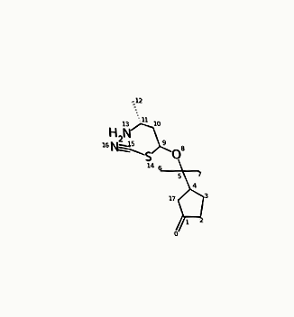 C=C1CCC(C(C)(C)OC(C[C@@H](C)N)SC#N)C1